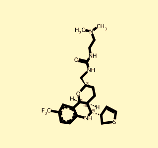 CN(C)CCNC(=O)NC[C@H]1CC[C@@H]2[C@H](O1)c1cc(C(F)(F)F)ccc1N[C@H]2C1C=CSC1